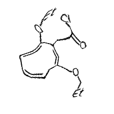 CCOc1cccc(OCC)c1C(=O)Cl